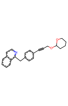 C(#Cc1ccc(Cc2nccc3ccccc23)cc1)COC1CCCCO1